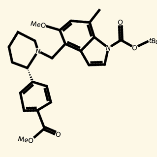 COC(=O)c1ccc([C@@H]2CCCCN2Cc2c(OC)cc(C)c3c2ccn3C(=O)OC(C)(C)C)cc1